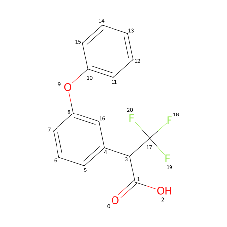 O=C(O)C(c1cccc(Oc2ccccc2)c1)C(F)(F)F